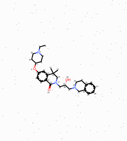 CCN1CCC(Oc2ccc3c(c2)C(C)(C)CN(C[C@H](O)CN2CCc4ccccc4C2)C3=O)CC1